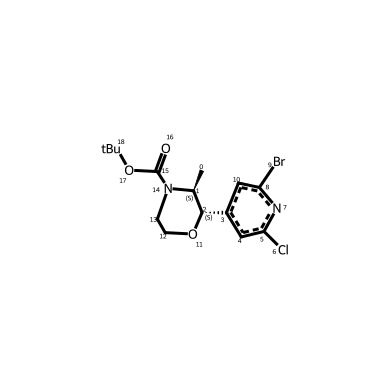 C[C@H]1[C@H](c2cc(Cl)nc(Br)c2)OCCN1C(=O)OC(C)(C)C